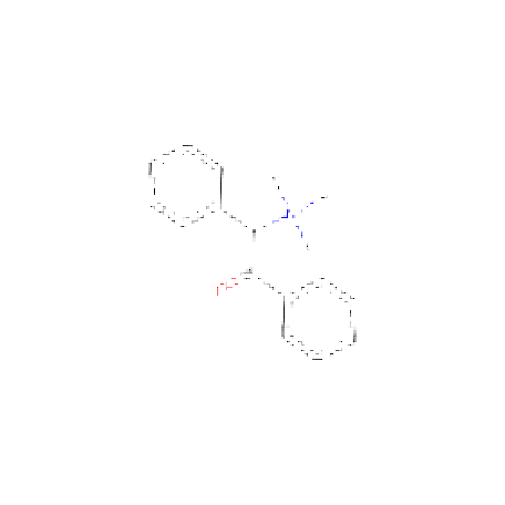 C[N+](C)(C)C(C(=O)c1ccccc1)c1ccccc1